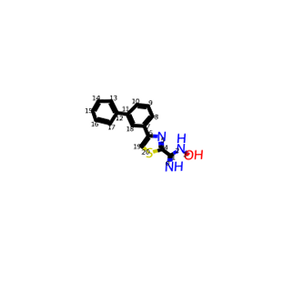 N=C(NO)c1nc(-c2cccc(-c3ccccc3)c2)cs1